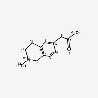 CC(C)C(=O)Cc1ccc2c(c1)CCN(C(C)C)C2